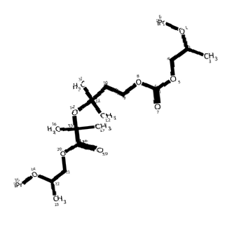 CC(C)OC(C)COC(=O)OCCC(C)(C)OC(C)(C)C(=O)OCC(C)OC(C)C